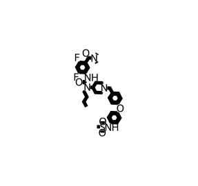 CCCCN(C(=O)Nc1cc(C(=O)N(C)C)c(F)cc1F)C1CCN(Cc2ccc(Oc3ccc(NS(C)(=O)=O)cc3)cc2)CC1